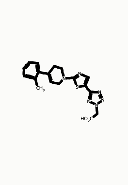 Cc1ccccc1C1=CCN(c2ncc(-c3nnn(CC(=O)O)n3)s2)CC1